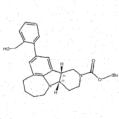 CC(C)(C)OC(=O)N1CC[C@H]2[C@@H](C1)c1cc(-c3ccccc3CO)cc3c1N2CCCC3